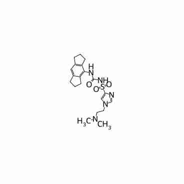 CN(C)CCn1cnc(S(=O)(=O)NC(=O)Nc2c3c(cc4c2CCC4)CCC3)c1